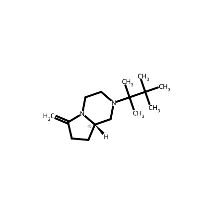 C=C1CC[C@H]2CN(C(C)(C)C(C)(C)C)CCN12